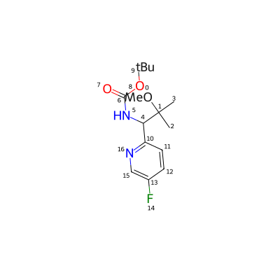 COC(C)(C)C(NC(=O)OC(C)(C)C)c1ccc(F)cn1